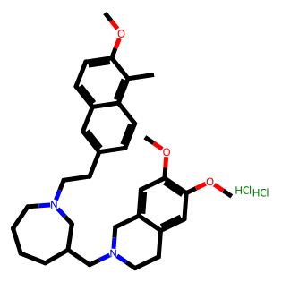 COc1cc2c(cc1OC)CN(CC1CCCCN(CCc3ccc4c(C)c(OC)ccc4c3)C1)CC2.Cl.Cl